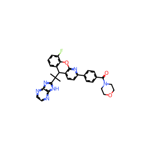 CC(C)(c1nc2nccnc2[nH]1)C1c2ccc(-c3ccc(C(=O)N4CCOCC4)cc3)nc2Oc2c(F)cccc21